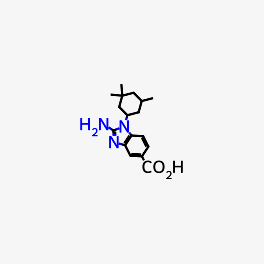 CC1CC(n2c(N)nc3cc(C(=O)O)ccc32)CC(C)(C)C1